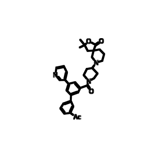 CC(=O)c1cccc(-c2cc(C(=O)N3CCC(N4CCCC5(C4)CC(C)(C)OC5=O)CC3)cc(-c3cccnc3)c2)c1